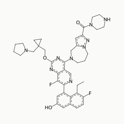 CCc1c(F)ccc2cc(O)cc(-c3ncc4c(N5CCCn6nc(C(=O)N7CCNCC7)cc6C5)nc(OCC5(CN6CCCC6)CC5)nc4c3F)c12